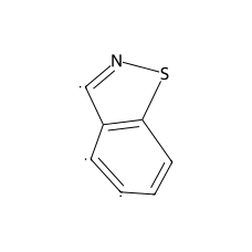 [c]1[c]c2[c]nsc2cc1